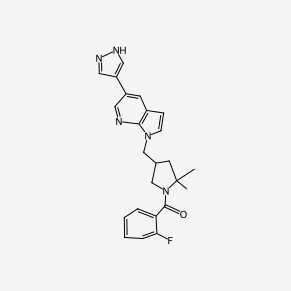 CC1(C)CC(Cn2ccc3cc(-c4cn[nH]c4)cnc32)CN1C(=O)c1ccccc1F